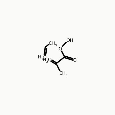 C=C(C)C(=O)OO.C=CC